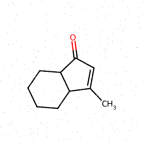 CC1=CC(=O)C2CCCCC12